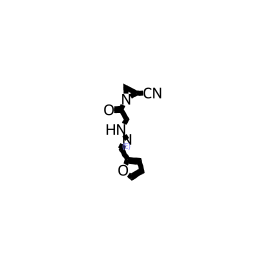 N#CC1CN1C(=O)CN/N=C/c1ccco1